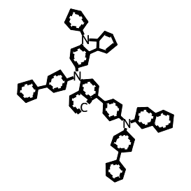 C1=CC2c3cc(N(c4ccc(-c5ccccc5)cc4)c4ccc(-c5ccc(N(c6ccc(-c7ccccc7)cc6)c6ccc7ccccc7c6)cc5)c5ccccc45)ccc3N(c3ccccc3)C2C=C1